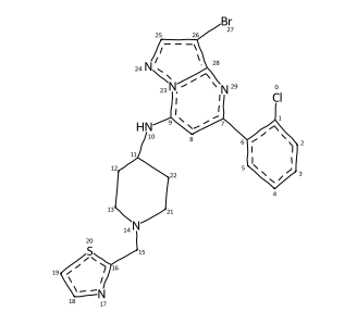 Clc1ccccc1-c1cc(NC2CCN(Cc3nccs3)CC2)n2ncc(Br)c2n1